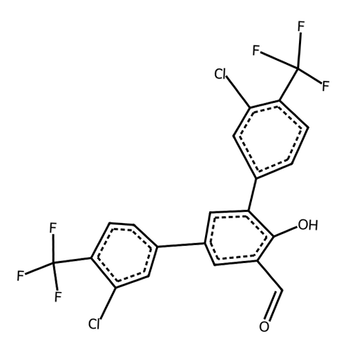 O=Cc1cc(-c2ccc(C(F)(F)F)c(Cl)c2)cc(-c2ccc(C(F)(F)F)c(Cl)c2)c1O